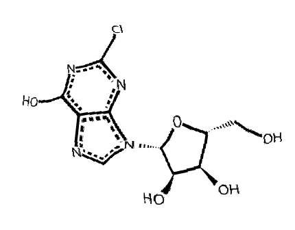 OC[C@H]1O[C@@H](n2cnc3c(O)nc(Cl)nc32)[C@H](O)[C@@H]1O